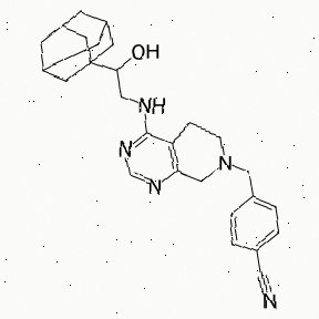 N#Cc1ccc(CN2CCc3c(ncnc3NCC(O)C34CC5CC(CC(C5)C3)C4)C2)cc1